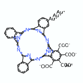 O=C([O-])c1c(C(=O)[O-])c(C(=O)[O-])c2c3nc4nc(nc5[nH]c(nc6nc(nc([nH]3)c2c1C(=O)[O-])-c1ccccc1-6)c1ccccc51)-c1ccccc1-4.[Au+].[Au+].[Au+].[Au+]